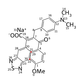 COc1ccc(C(=O)/C(Cc2ccc(N(C)C)cc2)=C(/C(=O)[O-])c2ccc3nsnc3c2)cc1.[Na+]